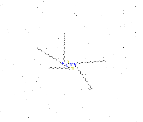 CCCCCCCCCCCCCCN(CCCCCCCCCCCCCC)CN1C(=S)N(CN(CCCCCCCCCCCCCC)CCCCCCCCCCCCCC)C(C)(CCCCCCCCC)C1=S